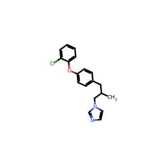 CC(Cc1ccc(Oc2ccccc2Cl)cc1)Cn1ccnc1